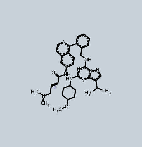 COC1CCC(Nc2nc(NCc3ccccc3-c3nccc4cc(NC(=O)/C=C/CN(C)C)ccc34)n3ncc(C(C)C)c3n2)CC1